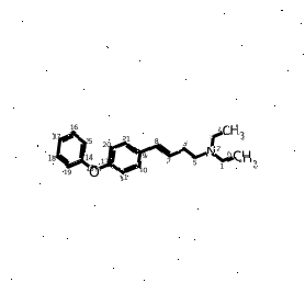 CCN(CC)CCC=Cc1ccc(Oc2ccccc2)cc1